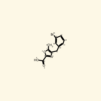 Cc1oc(C(=O)O)nc1Cc1cccc(Br)c1